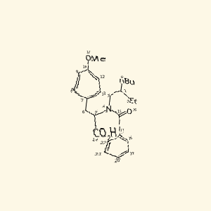 CCCCC(CC)CN([C](Cc1ccc(OC)cc1)C(=O)O)C(=O)c1ccccc1